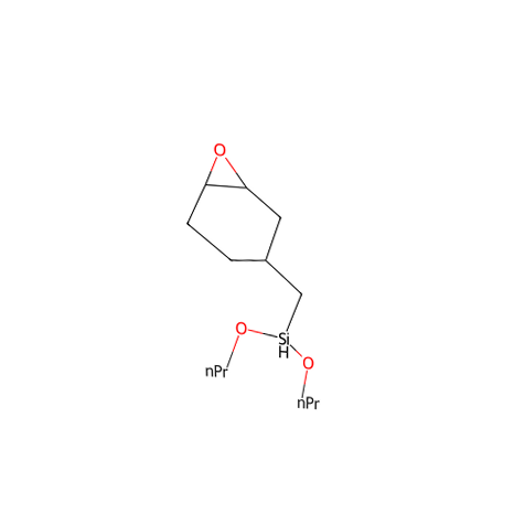 CCCO[SiH](CC1CCC2OC2C1)OCCC